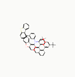 CC(C)(C)c1cc(-c2cccc3cccc(-c4ccccc4N(c4cccc(-c5cccc6sc7ccccc7c56)c4)c4cccc5oc6ccccc6c45)c23)cc(C(C)(C)C)c1